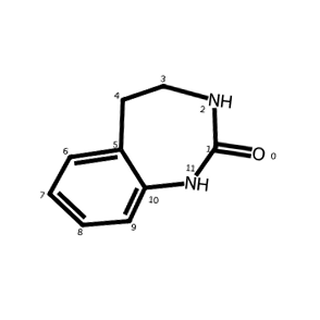 O=C1NCCc2cc[c]cc2N1